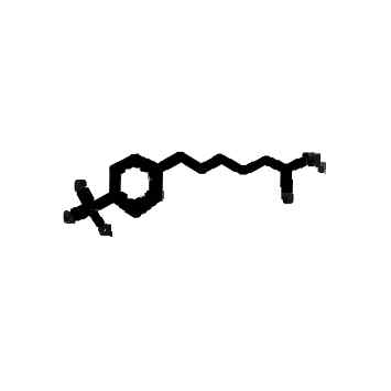 NC(=O)CCCCCc1ccc(S(=O)(=O)Cl)cc1